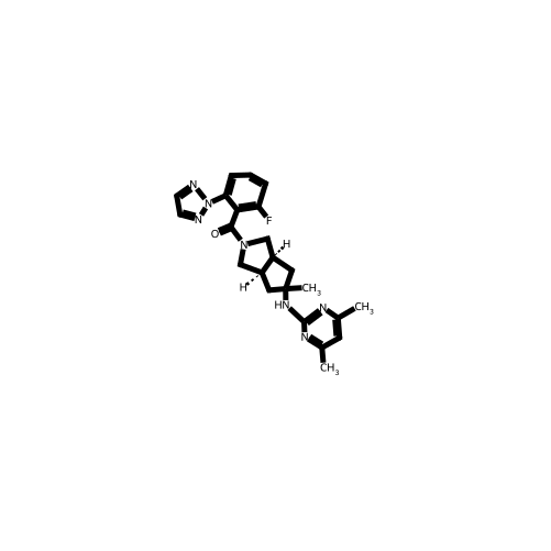 Cc1cc(C)nc(NC2(C)C[C@H]3CN(C(=O)c4c(F)cccc4-n4nccn4)C[C@H]3C2)n1